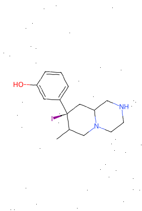 CC1CN2CCNCC2C[C@@]1(I)c1cccc(O)c1